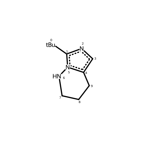 CC(C)(C)c1ncc2n1NCCC2